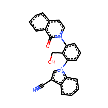 N#Cc1cn(-c2cccc(-n3ccc4ccccc4c3=O)c2CO)c2ccccc12